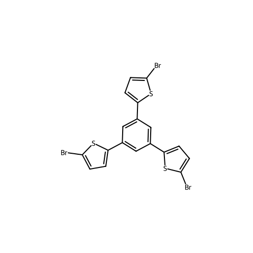 Brc1ccc(-c2cc(-c3ccc(Br)s3)cc(-c3ccc(Br)s3)c2)s1